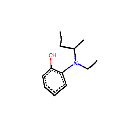 CCC(C)N(CC)c1ccccc1O